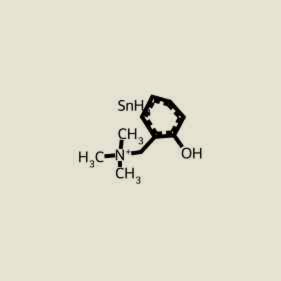 C[N+](C)(C)Cc1ccccc1O.[SnH4]